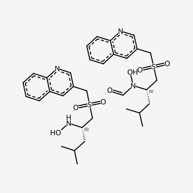 CC(C)C[C@@H](CS(=O)(=O)Cc1cnc2ccccc2c1)N(O)C=O.CC(C)C[C@@H](CS(=O)(=O)Cc1cnc2ccccc2c1)NO